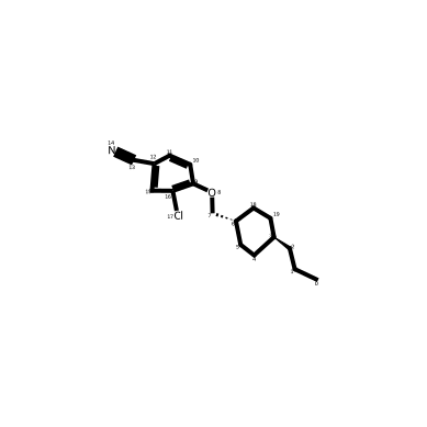 CCC[C@H]1CC[C@H](COc2ccc(C#N)cc2Cl)CC1